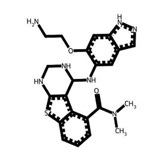 CN(C)C(=O)c1cccc2sc3c(c12)C(Nc1cc2cn[nH]c2cc1OCCN)NCN3